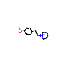 COc1ccc(/C=C/[n+]2ccccc2)cc1